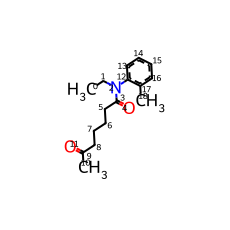 CCN(C(=O)CCCCC(C)=O)c1ccccc1C